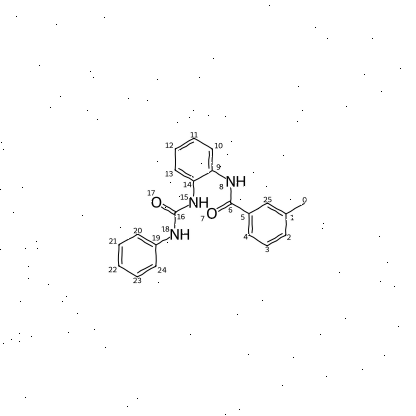 Cc1cccc(C(=O)Nc2ccccc2NC(=O)Nc2ccccc2)c1